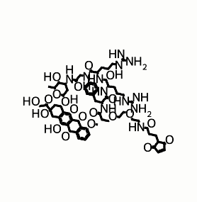 COc1cccc2c1C(=O)c1c(O)c3c(c(O)c1C2=O)CC(O)(C(=O)CO)CC3OC1CC(NC(=O)CNC(=O)C(CCCNC(=N)N)NC(=O)C(CCCNC(=N)N)NC(=O)C(Cc2ccccc2)NC(=O)CCOCCOCCNC(=O)CCC2C(=O)C=CC2=O)C(O)C(C)O1